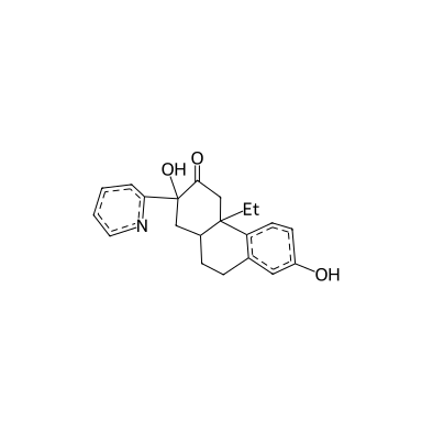 CCC12CC(=O)C(O)(c3ccccn3)CC1CCc1cc(O)ccc12